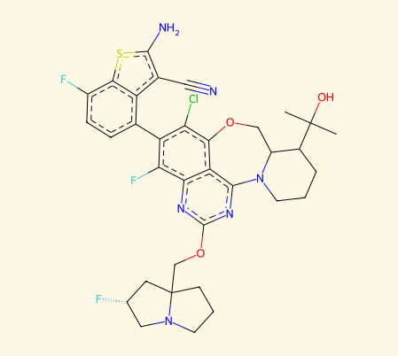 CC(C)(O)C1CCCN2c3nc(OCC45CCCN4C[C@H](F)C5)nc4c(F)c(-c5ccc(F)c6sc(N)c(C#N)c56)c(Cl)c(c34)OCC12